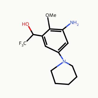 COc1c(N)cc(N2CCCCC2)cc1C(O)C(F)(F)F